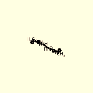 CN(/N=C/c1cc[n+](CC(=O)NCCSSCCNC(=O)C[n+]2ccc(/C=N/N(C)c3ccccc3)cc2)cc1)c1ccccc1